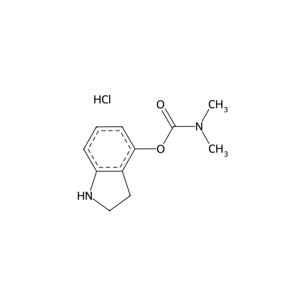 CN(C)C(=O)Oc1cccc2c1CCN2.Cl